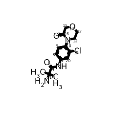 CC(C)(N)C(=O)Nc1ccc(N2CCOCC2=O)c(Cl)c1